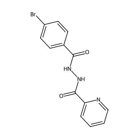 O=C(NNC(=O)c1ccccn1)c1ccc(Br)cc1